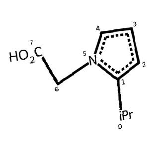 CC(C)c1cccn1CC(=O)O